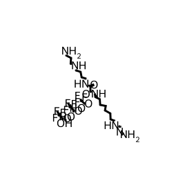 NCCCNCCCCNC(=O)C(=O)NCCCCCCCCNC=NN.O=C(O)C(F)(F)F.O=C(O)C(F)(F)F.O=C(O)C(F)(F)F